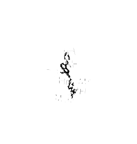 COCCN(C)S(=O)(=O)c1ccc(NCC#Cc2cc3c(NC4CCN(C)CC4)cccc3n2CC(F)(F)F)c(OC)c1